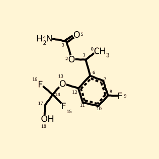 CC(OC(N)=O)c1cc(F)ccc1OC(F)(F)CO